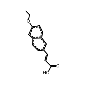 CCOc1ccc2cc(C=CC(=O)O)ccc2c1